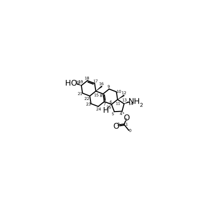 CC(=O)O[C@@H]1C[C@H]2C3=C(CC[C@]2(C)[C@H]1N)[C@@]1(C)C=C[C@H](O)CC1CC3